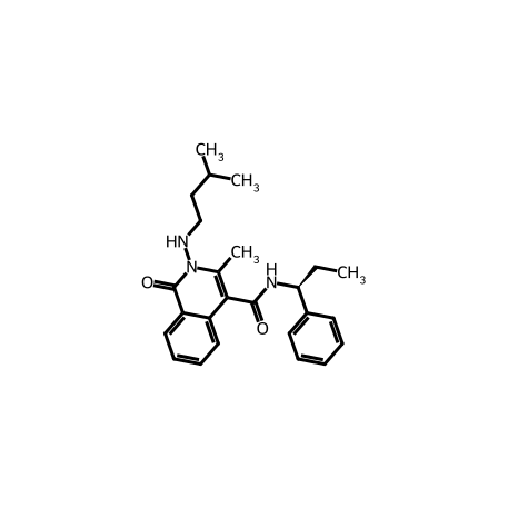 CC[C@H](NC(=O)c1c(C)n(NCCC(C)C)c(=O)c2ccccc12)c1ccccc1